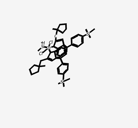 C[SiH](C)[Zr]([Cl])([Cl])([CH]1C(CC2(C)CCCC2)=Cc2c(-c3ccc([Si](C)(C)C)cc3)cccc21)[CH]1C(CC2(C)CCCC2)=Cc2c(-c3ccc([Si](C)(C)C)cc3)cccc21